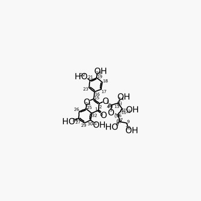 O=c1c(O[C@H]2O[C@@H]([C@H](O)CO)[C@@H](O)[C@@H]2O)c(-c2ccc(O)c(O)c2)oc2cc(O)cc(O)c12